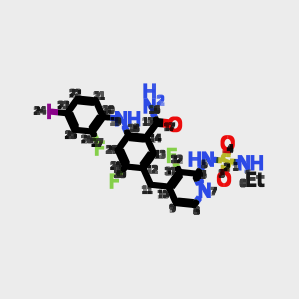 CCNS(=O)(=O)Nc1nccc(Cc2cc(C(N)=O)c(Nc3ccc(I)cc3F)cc2F)c1F